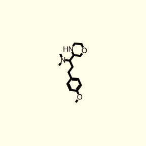 COc1ccc(CCC(C2COCCN2)N(C)C)cc1